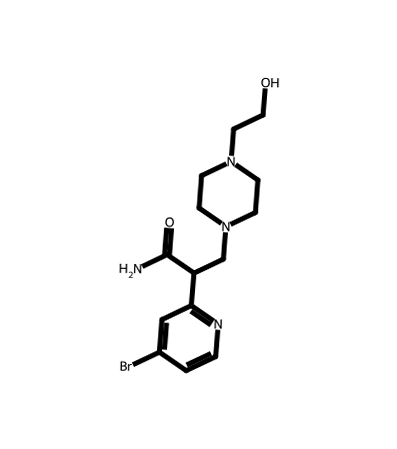 NC(=O)C(CN1CCN(CCO)CC1)c1cc(Br)ccn1